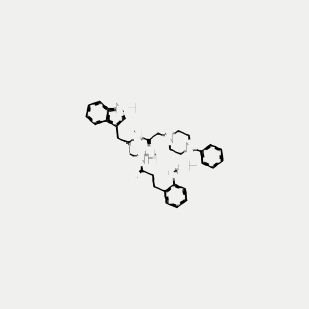 COc1ccccc1CCC(=O)NC[C@@H](Cc1c[nH]c2ccccc12)NC(=O)CN1CCN(c2ccccc2)CC1